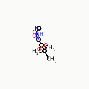 CC#Cc1cc(C)c(C2C(=O)CC(C3CCN(C(=O)NC(=O)c4ccccn4)CC3)CC2=O)c(C)c1